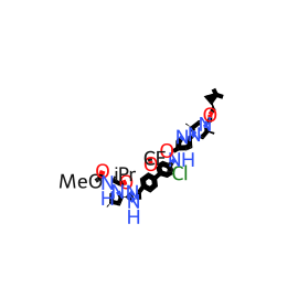 COC(=O)N[C@H](C(=O)N1C[C@@H](C)C[C@H]1c1nc(-c2ccc(-c3cc(Cl)c(NC(=O)c4ccc(N5C[C@H](C)N(COC[C@H]6CC6(C)C)C[C@H]5C)nc4)cc3OC(F)(F)F)cc2)c[nH]1)C(C)C